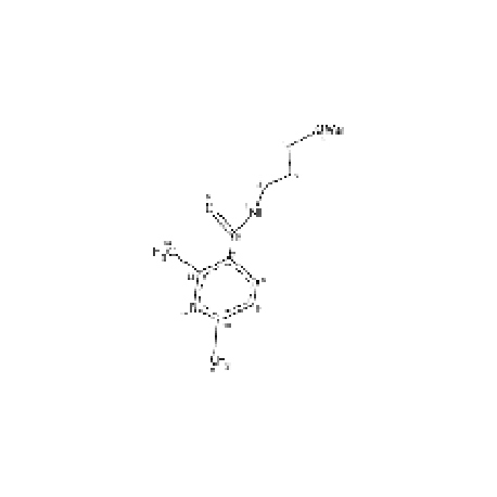 COCCCNC(=O)c1ccc(C(F)(F)F)nc1C